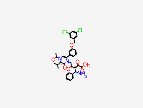 CC(=O)N1C=C(c2cccc(OCc3cc(Cl)cc(Cl)c3)c2)N(CC(=O)[C@@H](C(=O)C(=O)O)C(N)c2ccccc2)C(=O)[C@H]1C(C)C